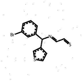 S=CC=NC(c1ccsc1)c1cccc(Br)c1